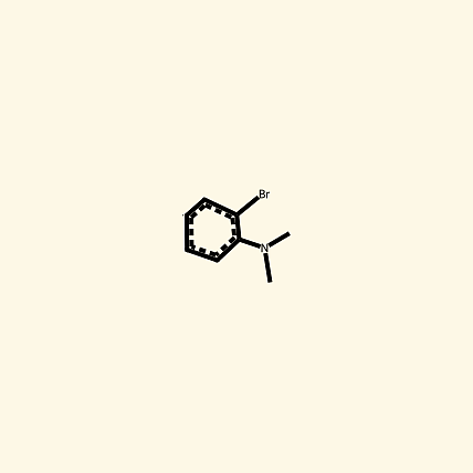 CN(C)c1cc[c]cc1Br